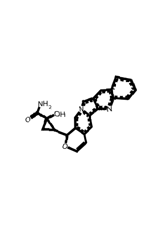 NC(=O)C1(O)CC1C1OC=Cc2cc3c4nc5ccccc5cc4cn3cc21